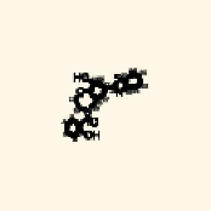 O=C(c1ccccc1O)N1CCOc2c(O)cc(-c3nc4ccccc4s3)cc2C1